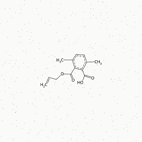 C=CCOC(=O)c1c(C)ccc(C)c1C(=O)O